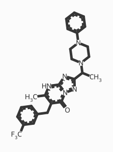 Cc1[nH]c2nc(C(C)N3CCN(c4ccccc4)CC3)nn2c(=O)c1Cc1cccc(C(F)(F)F)c1